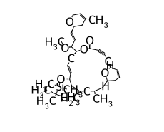 C=C1C[C@H](C)C[C@@H]2CC=C[C@@H](CC#CC(=O)O[C@H]([C@H](/C=C/[C@@H]3CC(C)=CCO3)OC)C/C=C/[C@@H](O[Si](C)(C)C(C)(C)C)C1)O2